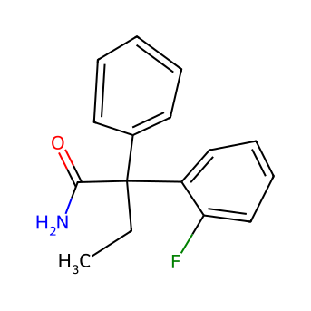 CCC(C(N)=O)(c1ccccc1)c1ccccc1F